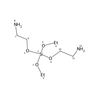 CCO[Si](OCC)(OCCN)OCCN